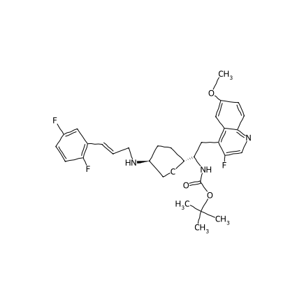 COc1ccc2ncc(F)c(CC(NC(=O)OC(C)(C)C)[C@H]3CC[C@H](NC/C=C/c4cc(F)ccc4F)CC3)c2c1